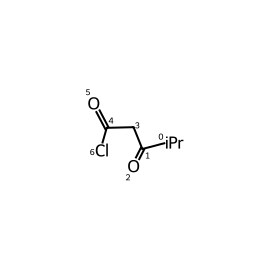 CC(C)C(=O)CC(=O)Cl